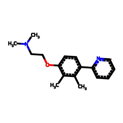 Cc1c(OCCN(C)C)ccc(-c2ccc[c]n2)c1C